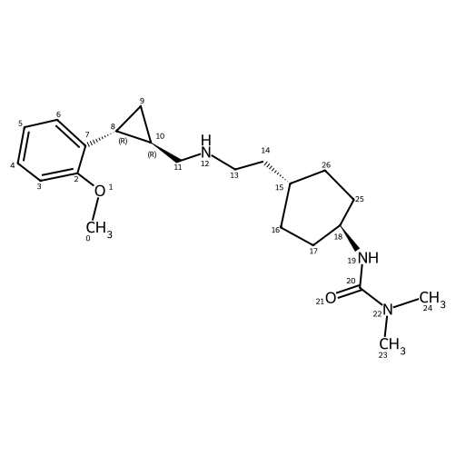 COc1ccccc1[C@@H]1C[C@H]1CNCC[C@H]1CC[C@H](NC(=O)N(C)C)CC1